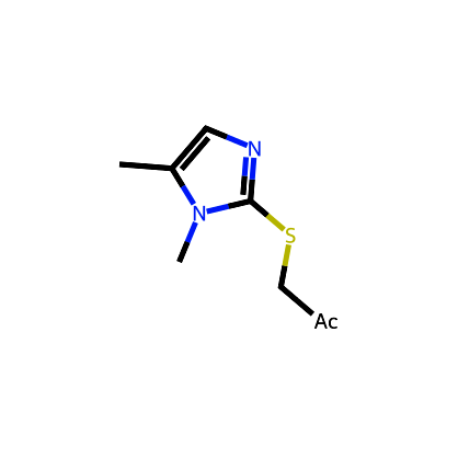 CC(=O)CSc1ncc(C)n1C